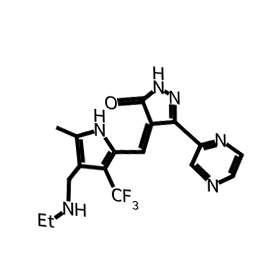 CCNCc1c(C)[nH]c(C=C2C(=O)NN=C2c2cnccn2)c1C(F)(F)F